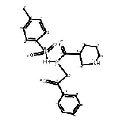 Cc1ccc(S(=O)(=O)NN(CC(=O)c2ccccc2)C(=O)C2CCCNC2)cc1